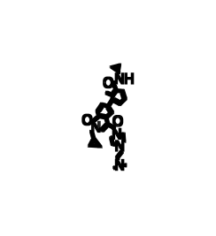 Cc1c(C(=O)NC2CC2)cccc1-c1ccc2c(=O)n(CC3CC3)cc(C(=O)N3CCN(CCN(C)C)CC3)c2c1